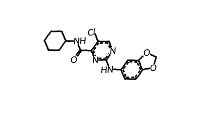 O=C(NC1CCCCC1)c1nc(Nc2ccc3c(c2)OCO3)ncc1Cl